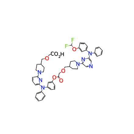 O=C(O)COCC1CCN(c2cccc(N(c3ccccc3)c3cccc(OC(=O)COCC4CCN(c5cncc(N(c6ccccc6)c6cccc(OC(F)F)c6)n5)CC4)c3)n2)CC1